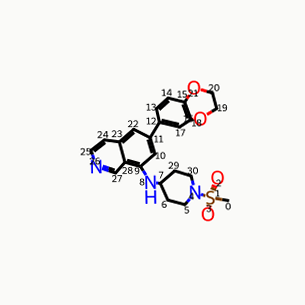 CS(=O)(=O)N1CCC(Nc2cc(-c3ccc4c(c3)OCCO4)cc3ccncc23)CC1